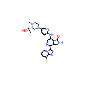 CN1CCN(c2ccc(Nc3cnc(-c4cnc5c(F)cccn45)c4c3C(=O)NC4)nc2)C[C@@H]1C(C)(C)O